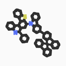 c1ccc(-c2nc3ccccc3c3c2cc(-n2c4ccccc4c4cc(-c5ccc6c(c5)C5(c7ccccc7-c7ccccc75)c5ccccc5-6)ccc42)c2sc4ccccc4c23)cc1